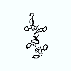 c1ccc(-c2cc3nc(-n4c5ccc(-c6ccc7c(c6)c6ccccc6n7-c6nc(-c7ccccc7)c7ccc8ccccc8c7n6)cc5c5cc6ccccc6cc54)nc(-c4ccccc4)c3s2)cc1